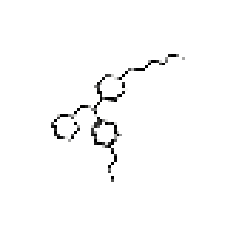 CCCCCCC1CCC(C(CC2CC=CCC2)c2ccc(CCC)cc2)CC1